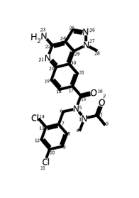 CC(=O)N(C)N(Cc1ccc(Cl)cc1Cl)C(=O)c1ccc2nc(N)c3cnn(C)c3c2c1